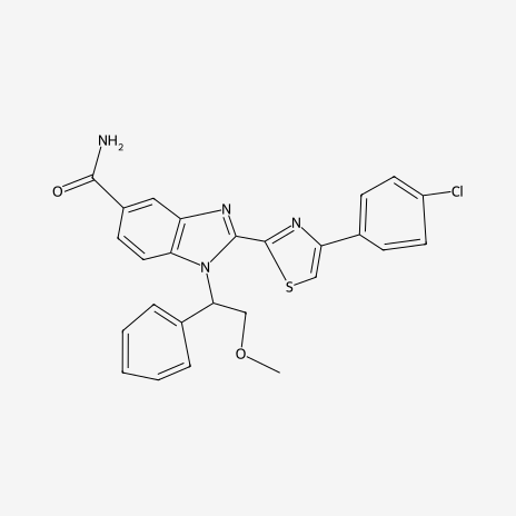 COCC(c1ccccc1)n1c(-c2nc(-c3ccc(Cl)cc3)cs2)nc2cc(C(N)=O)ccc21